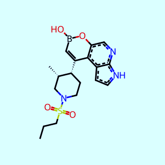 CCCS(=O)(=O)N1CC[C@@H](C2=CB(O)Oc3cnc4[nH]ccc4c32)[C@@H](C)C1